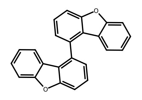 c1ccc2c(c1)oc1cccc(-c3cccc4oc5ccccc5c34)c12